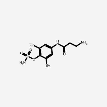 CC(C)c1cc(NC(=O)CCN)cc(C(C)C)c1OS(N)(=O)=O